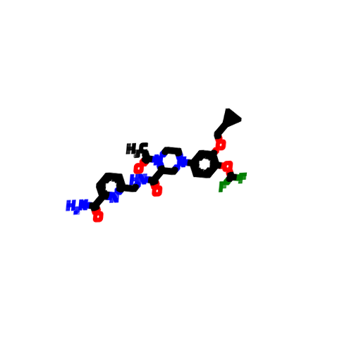 CC(=O)N1CCN(c2ccc(OC(F)F)c(OCC3CC3)c2)CC1C(=O)NCc1cccc(C(N)=O)n1